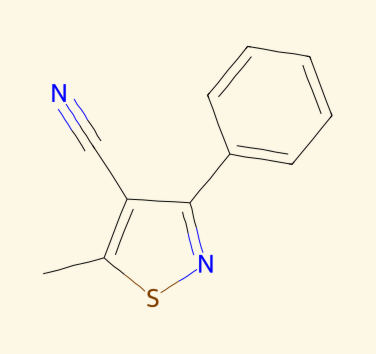 Cc1snc(-c2ccccc2)c1C#N